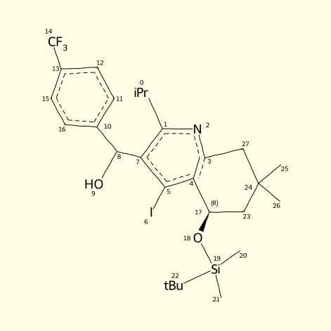 CC(C)c1nc2c(c(I)c1C(O)c1ccc(C(F)(F)F)cc1)[C@H](O[Si](C)(C)C(C)(C)C)CC(C)(C)C2